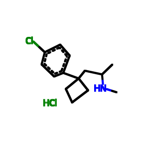 CNC(C)CC1(c2ccc(Cl)cc2)CCC1.Cl